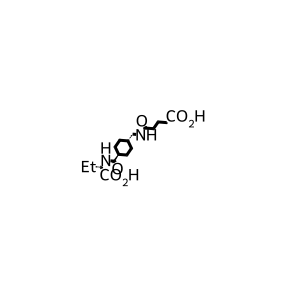 CC[C@H](NC(=O)[C@H]1CC[C@H](CNC(=O)CCCC(=O)O)CC1)C(=O)O